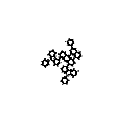 c1ccc(-c2cc(-c3c4cccc(-c5cccc6c5c5ccccc5n6-c5ccccc5)c4cc4c(-c5cccc6c5c5ccccc5n6-c5ccccc5)cccc34)c3ccccc3c2)cc1